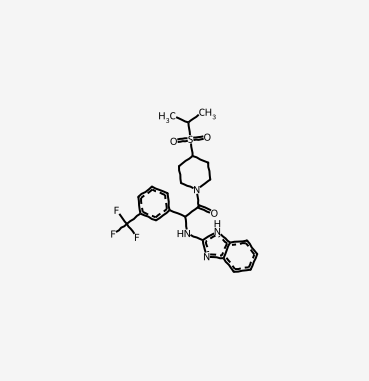 CC(C)S(=O)(=O)C1CCN(C(=O)C(Nc2nc3ccccc3[nH]2)c2cccc(C(F)(F)F)c2)CC1